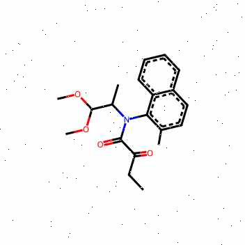 CCC(=O)C(=O)N(c1c(C)ccc2ccccc12)C(C)C(OC)OC